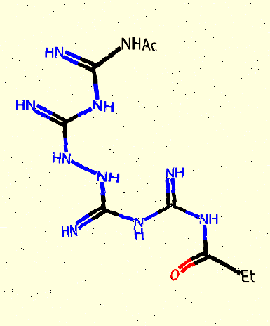 CCC(=O)NC(=N)NC(=N)NNC(=N)NC(=N)NC(C)=O